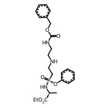 CCOC(=O)[C@H](C)NP(=O)(CCNCCNC(=O)OCc1ccccc1)Oc1ccccc1